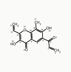 C=CC(=O)c1cc2c(=O)c(O)c(C=C)oc2c(C)c1O